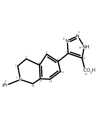 CC(C)N1CCc2cc(-c3nn[nH]c3C(=O)O)ccc2C1